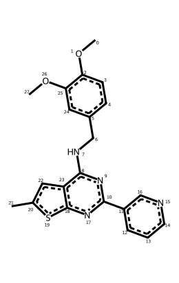 COc1ccc(CNc2nc(-c3cccnc3)nc3sc(C)cc23)cc1OC